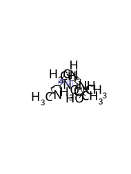 C=C1NC=C(C(=O)N[C@@H](C)C(C)(C)O)/C1=N/C(=C\C)c1ccc(C)nc1